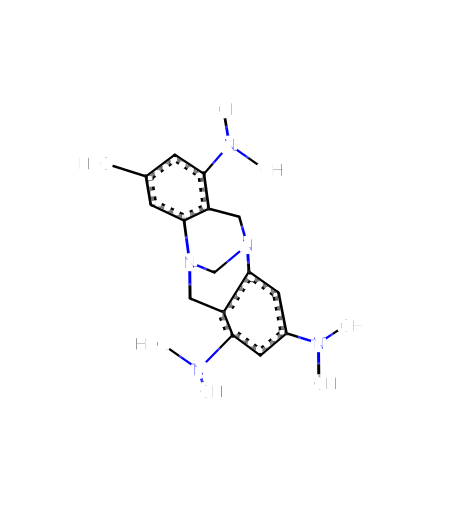 Cc1cc(N(C)C)c2c(c1)N1Cc3c(N(C)C)cc(N(C)C)cc3N(C2)C1